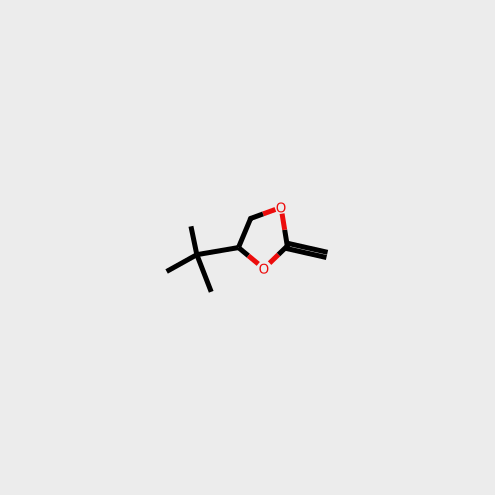 C=C1OCC(C(C)(C)C)O1